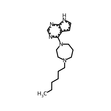 CCCCCCN1CCCN(c2ncnc3[nH]ccc23)CC1